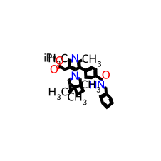 Cc1nc(C)c(-c2ccc(C(=O)NCc3ccccc3)cc2)c(N2CC3C(C)(C)C34CCC4(C)C2)c1CC(=O)OC(C)C